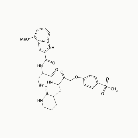 COc1cccc2[nH]c(C(=O)N[C@@H](CC(C)C)C(=O)N[C@@H](C[C@@H]3CCCNC3=O)C(=O)COc3ccc(S(C)(=O)=O)cc3)cc12